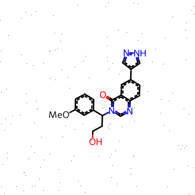 COc1cccc(C(CCO)n2cnc3ccc(-c4cn[nH]c4)cc3c2=O)c1